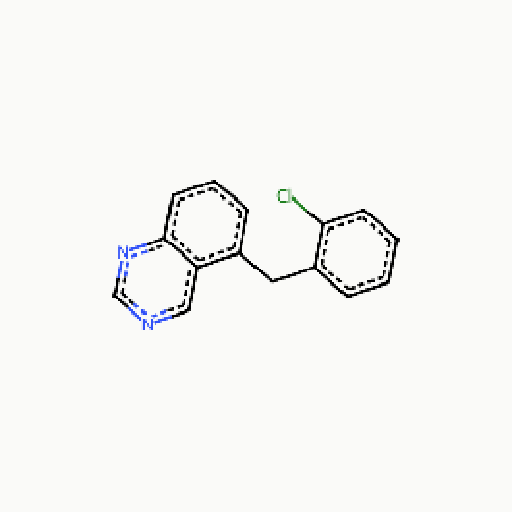 Clc1ccccc1Cc1cccc2ncncc12